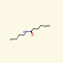 CCCCCCCNC(=O)CCCOC